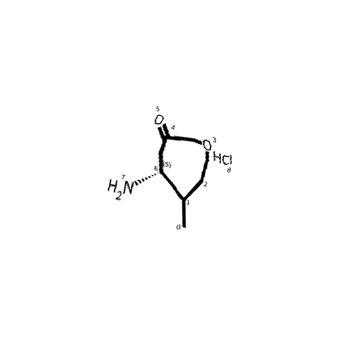 CC1COC(=O)[C@H]1N.Cl